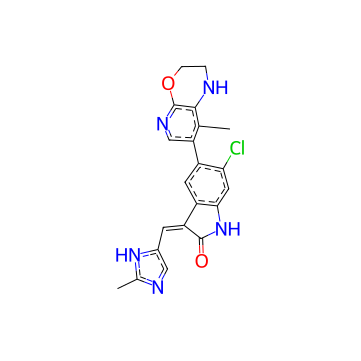 Cc1ncc(C=C2C(=O)Nc3cc(Cl)c(-c4cnc5c(c4C)NCCO5)cc32)[nH]1